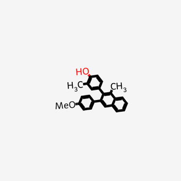 COc1ccc(-c2cc3ccccc3c(C)c2-c2ccc(O)c(C)c2)cc1